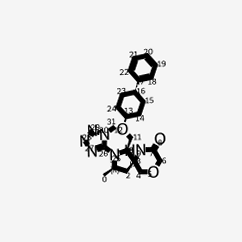 C[C@@H]1C[C@@]2(COCC(=O)N2)[C@H](CO[C@H]2CC[C@@H](c3ccccc3)CC2)N1c1nnnn1C